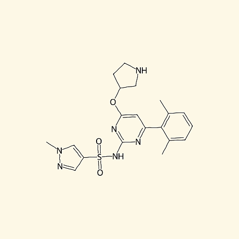 Cc1cccc(C)c1-c1cc(OC2CCNC2)nc(NS(=O)(=O)c2cnn(C)c2)n1